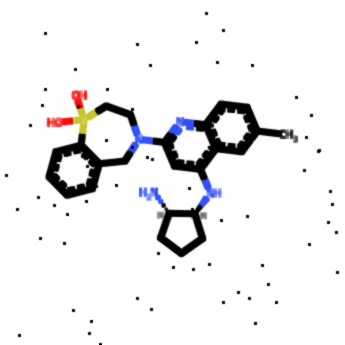 Cc1ccc2nc(N3CCS(O)(O)c4ccccc4C3)cc(N[C@H]3CCC[C@@H]3N)c2c1